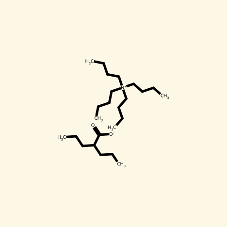 CCCC(CCC)C(=O)[O-].CCCC[N+](CCCC)(CCCC)CCCC